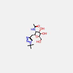 CC(=O)N[C@@H]1[C@@H](O)[C@@H](O)[C@@H](CO)O[C@H]1Cc1cn(C(C)(C)C)nn1